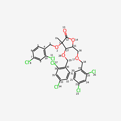 CC1(OCc2ccc(Cl)cc2Cl)C(=O)OC(COCc2ccc(Cl)cc2Cl)C1OCc1ccc(Cl)cc1Cl